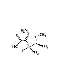 CO[C@@H](C)C(C)(Br)/C(=C/N)C(=O)O